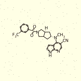 CN(c1c(C#N)cnc2[nH]ccc12)[C@@H]1CC2CN(S(=O)(=O)c3cccc(C(F)(F)F)c3)C[C@H]2C1